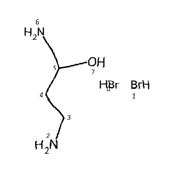 Br.Br.NCCC(N)O